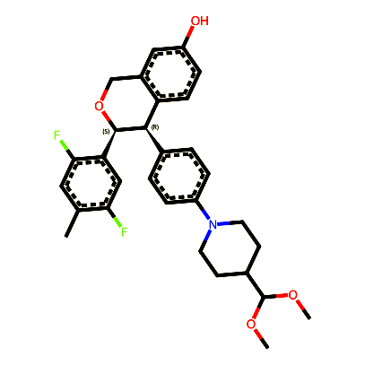 COC(OC)C1CCN(c2ccc([C@@H]3c4ccc(O)cc4CO[C@@H]3c3cc(F)c(C)cc3F)cc2)CC1